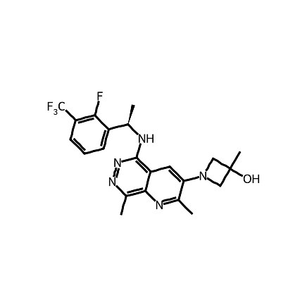 Cc1nc2c(C)nnc(N[C@H](C)c3cccc(C(F)(F)F)c3F)c2cc1N1CC(C)(O)C1